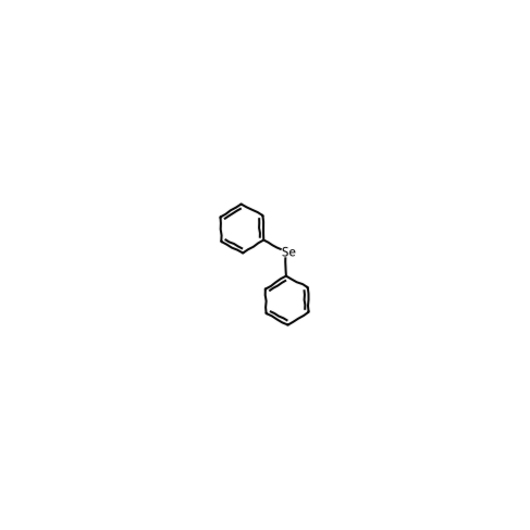 c1ccc([Se]c2ccccc2)cc1